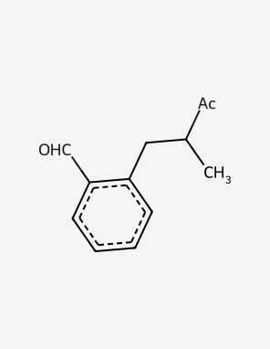 CC(=O)C(C)Cc1ccccc1C=O